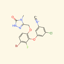 [C-]#[N+]c1cc(Cl)cc(Oc2c(OCc3n[nH]c(=O)n3C)ccc(Br)c2F)c1